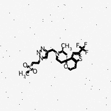 C[C@H]1C[C@@]2(CCN1Cc1cn(CCS(C)(=O)=O)nn1)OCCc1sc(C(F)(F)F)cc12